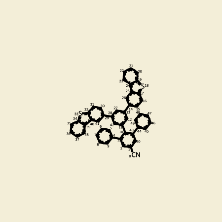 N#Cc1cc(-c2ccccc2)c(-c2cc(-c3ccc4sc5ccccc5c4c3)cc(-c3ccc4sc5ccccc5c4c3)c2)c(-c2ccccc2)c1